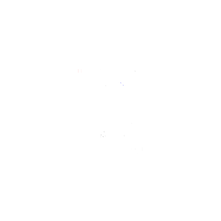 CCCCN(/C=C/C=C(\C#N)C(=O)O)CCO